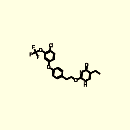 CCc1c[nH]c(OCCc2ccc(Oc3ccc(Cl)c(OC(F)(F)F)c3)cc2)nc1=O